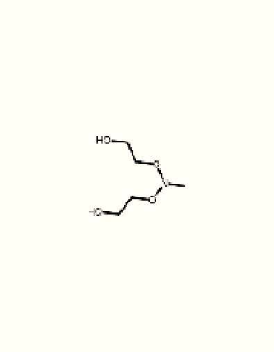 CN(OCCO)OCCO